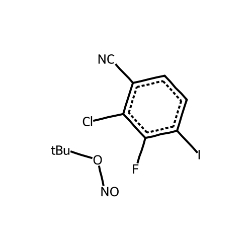 CC(C)(C)ON=O.N#Cc1ccc(I)c(F)c1Cl